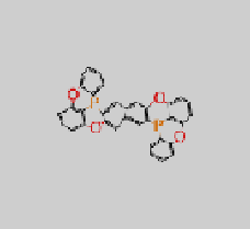 c1ccc2c(c1)Oc1cccc3oc4cc5cc6c(cc5cc4p-2c13)oc1cccc2c1p6-c1ccccc1O2